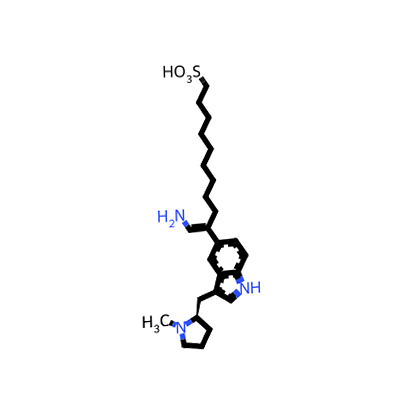 CN1CCC[C@@H]1Cc1c[nH]c2ccc(C(=CN)CCCCCCCCCS(=O)(=O)O)cc12